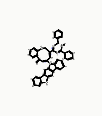 C=N\C(=N/C(=N\Cc1ccccc1)C1=C/C(n2c3ccccc3c3cc4oc5ccccc5c4cc32)=C\C(=C)c2ccccc2SC\1)c1ccccc1